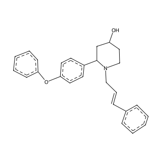 OC1CCN(CC=Cc2ccccc2)C(c2ccc(Oc3ccccc3)cc2)C1